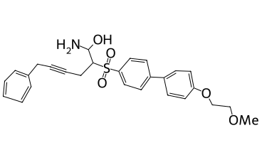 COCCOc1ccc(-c2ccc(S(=O)(=O)C(CC#CCc3ccccc3)C(N)O)cc2)cc1